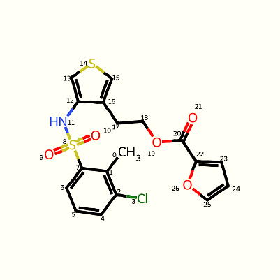 Cc1c(Cl)cccc1S(=O)(=O)Nc1cscc1CCOC(=O)c1ccco1